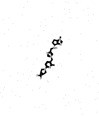 Cc1nc(N2CC3C(C2)C3(F)F)ccc1Cn1cnc(CN[C@@H]2CCc3c2ncn3C)c1